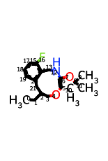 CCC1COC=C(OC(C)(C)C)NCc2c(F)cccc2C1